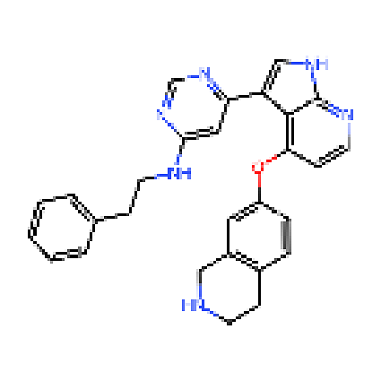 c1ccc(CCNc2cc(-c3c[nH]c4nccc(Oc5ccc6c(c5)CNCC6)c34)ncn2)cc1